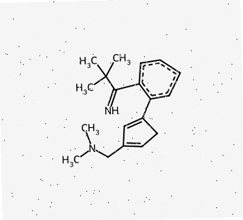 CN(C)CC1=CCC(c2ccccc2C(=N)C(C)(C)C)=C1